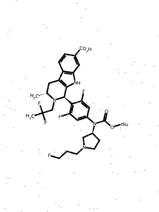 C[C@@H]1Cc2c([nH]c3cc(C(=O)O)ccc23)[C@@H](c2c(F)cc(N(C(=O)OC(C)(C)C)[C@H]3CCN(CCCF)C3)cc2F)N1CC(C)(F)F